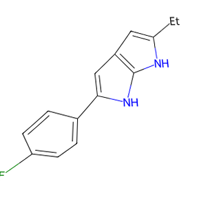 CCc1cc2cc(-c3ccc(F)cc3)[nH]c2[nH]1